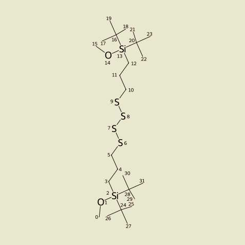 CO[Si](CCCSSSSCCC[Si](OC)(C(C)(C)C)C(C)(C)C)(C(C)(C)C)C(C)(C)C